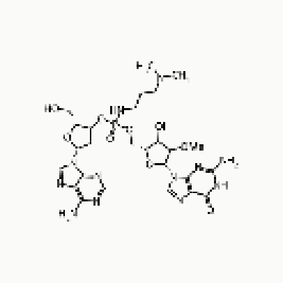 COC1C(O)[C@@H](COP(=O)(NCCCN(C)C)OC2C[C@H](n3cnc4c(N)ncnc43)O[C@@H]2CO)O[C@H]1n1cnc2c(=O)[nH]c(N)nc21